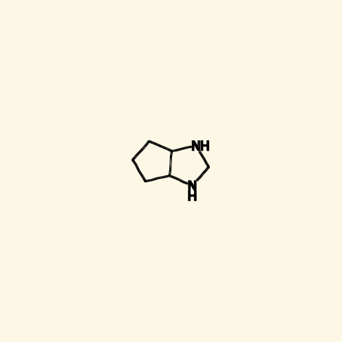 C1CC2NCNC2C1